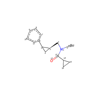 CCCCN(C[C@H]1CC1c1ccccc1)C(=O)C1CC1